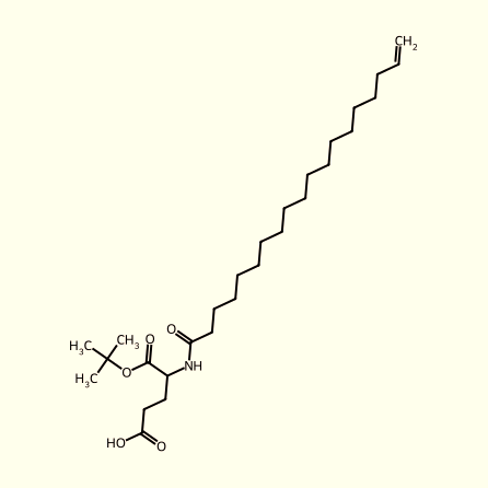 C=CCCCCCCCCCCCCCCCCC(=O)NC(CCC(=O)O)C(=O)OC(C)(C)C